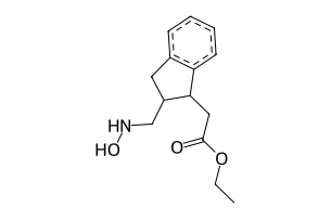 CCOC(=O)CC1c2ccccc2CC1CNO